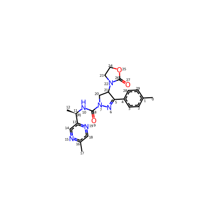 Cc1ccc(C2=NN(C(=O)N[C@H](C)c3cnc(C)cn3)CC2N2CCOC2=O)cc1